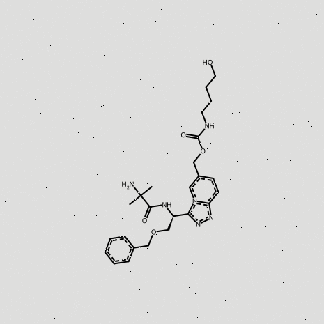 CC(C)(N)C(=O)N[C@H](COCc1ccccc1)c1nnc2ccc(COC(=O)NCCCCO)cn12